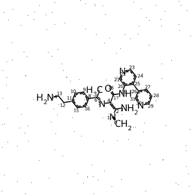 C=N/C(N)=C(\N=C(/C)c1ccc(CCN)cc1)C(=O)Nc1cnccc1-c1cccnc1